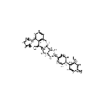 O=C(c1c(F)cccc1-n1nccn1)N1CC2CN(c3ncc(-c4ccc(F)cc4F)cn3)CC2C1